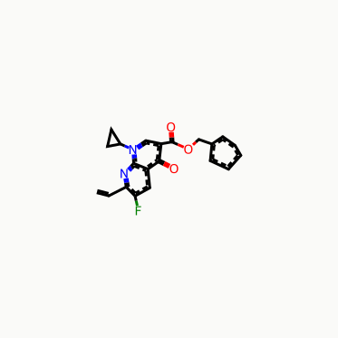 C=Cc1nc2c(cc1F)c(=O)c(C(=O)OCc1ccccc1)cn2C1CC1